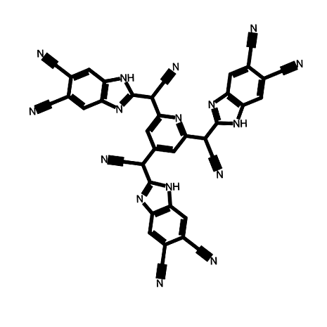 N#Cc1cc2nc(C(C#N)c3cc(C(C#N)c4nc5cc(C#N)c(C#N)cc5[nH]4)nc(C(C#N)c4nc5cc(C#N)c(C#N)cc5[nH]4)c3)[nH]c2cc1C#N